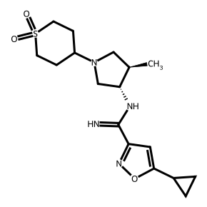 C[C@@H]1CN(C2CCS(=O)(=O)CC2)C[C@H]1NC(=N)c1cc(C2CC2)on1